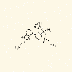 NCCc1nc2c(-c3ccc(S(=O)(=O)CCN)c(S(N)(=O)=O)c3-c3nn[nH]n3)cccc2[nH]1